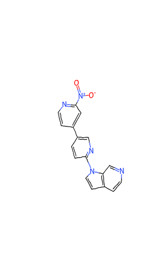 O=[N+]([O-])c1cc(-c2ccc(-n3ccc4ccncc43)nc2)ccn1